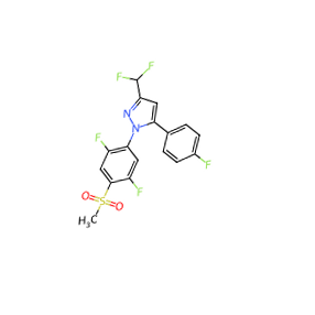 CS(=O)(=O)c1cc(F)c(-n2nc(C(F)F)cc2-c2ccc(F)cc2)cc1F